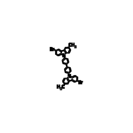 Cc1ccc2c(c1)c1cc(Br)ccc1n2-c1ccc(-c2ccc(-n3c4ccc(C)cc4c4cc(Br)ccc43)cc2)cc1